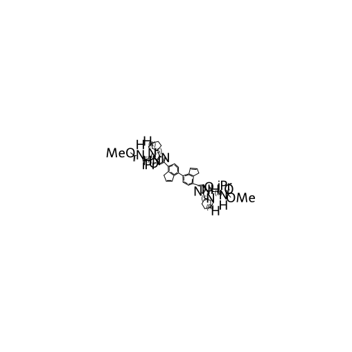 C=C(N[C@H](C(=O)N1C[C@@H]2CC[C@@]1(c1nc(-c3ccc(-c4ccc(-c5c[nH]c([C@@]67CC[C@@H](CN6C(=O)[C@@H](NC(=O)OC)C(C)C)C7)n5)c5c4C=CC5)c4c3CC=C4)c[nH]1)C2)C(C)C)OC